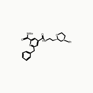 CNC(=O)c1cc(C(=O)NCC[C@@H]2CN(C(C)C)CCO2)cc(Cc2ccccc2)n1